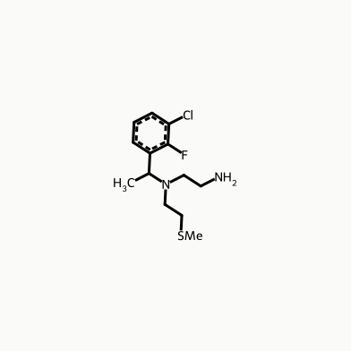 CSCCN(CCN)C(C)c1cccc(Cl)c1F